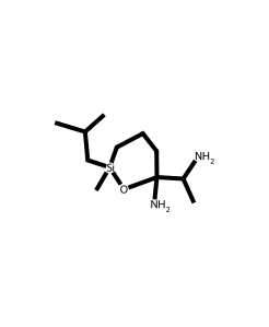 CC(C)C[Si]1(C)CCCC(N)(C(C)N)O1